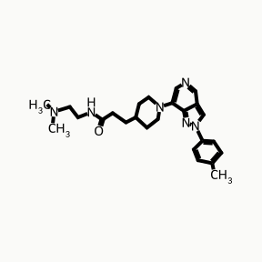 Cc1ccc(-n2cc3cncc(N4CCC(CCC(=O)NCCN(C)C)CC4)c3n2)cc1